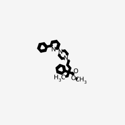 CCC(CCCN1CCN(c2cccc(-c3ccccc3)n2)CC1)(C(=O)OC)c1ccccc1